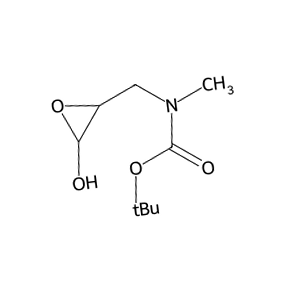 CN(CC1OC1O)C(=O)OC(C)(C)C